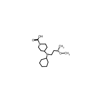 CON(C)CCN(C1CCCCC1)C1CCN(C(=O)O)CC1